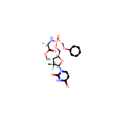 CCCOC(=O)[C@H](C)N[P@](=O)(COc1ccccc1)OC[C@@H]1C[C@@](C)(F)[C@H](n2ccc(=O)[nH]c2=O)O1